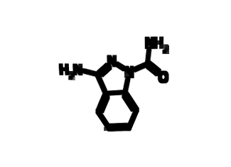 NC(=O)n1nc(N)c2c[c]ccc21